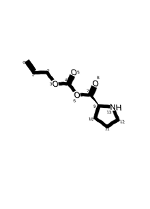 C=CCOC(=O)OC(=O)[C@@H]1CCCN1